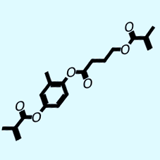 C=C(C)C(=O)OCCCC(=O)Oc1ccc(OC(=O)C(=C)C)cc1C